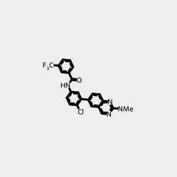 CNc1ncc2cc(-c3cc(NC(=O)c4cccc(C(F)(F)F)c4)ccc3Cl)ccc2n1